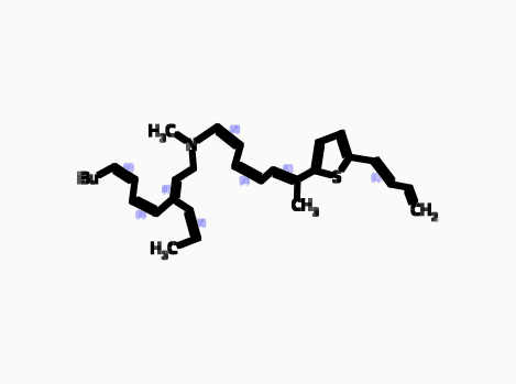 C=C/C=C/c1ccc(/C(C)=C/C=C\C=C/N(C)C/C=C(\C=C/C)/C=C\C=C/C(C)CC)s1